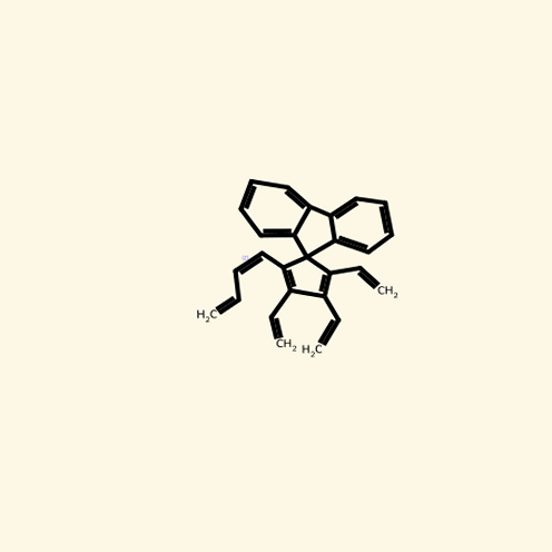 C=C/C=C\C1=C(C=C)C(C=C)=C(C=C)C12c1ccccc1-c1ccccc12